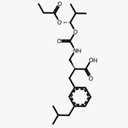 CCC(=O)O[C@@H](OC(=O)NC[C@H](Cc1cccc(CC(C)C)c1)C(=O)O)C(C)C